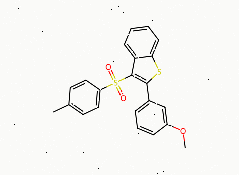 COc1cccc(-c2sc3ccccc3c2S(=O)(=O)c2ccc(C)cc2)c1